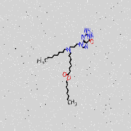 CCCCCCCCOC(=O)CCCCCCCN(CCCCCCCC)CCCn1cnc2c(=O)[nH]c(N)nc21